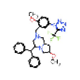 COc1ccc(-n2nnnc2C(F)(F)F)cc1CN1CC2CC(OC)CN2C(C(c2ccccc2)c2ccccc2)C1